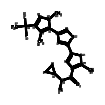 CCN(C(=O)c1cc(-c2cc(-c3c(C(F)(F)F)c(C(F)(F)C(F)(F)F)nn3C)cs2)sc1C#N)C1CC1